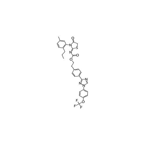 CCCc1ccc(C)cc1N1C(=O)CS/C1=N\C(=O)OCCc1ccc(-c2ncn(-c3ccc(OC(F)(F)F)cc3)n2)cc1